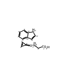 NCC(=O)O.O=c1cc1.c1ccc2[nH]ccc2c1